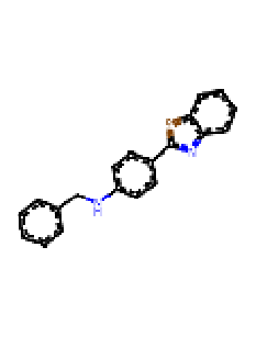 c1ccc(CNc2ccc(-c3nc4ccccc4s3)cc2)cc1